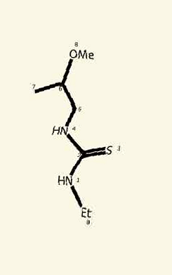 CCNC(=S)NCC(C)OC